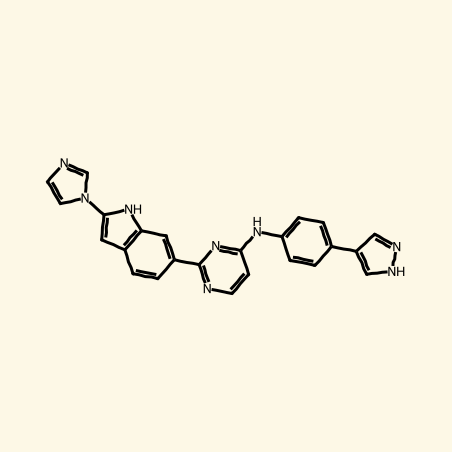 c1cn(-c2cc3ccc(-c4nccc(Nc5ccc(-c6cn[nH]c6)cc5)n4)cc3[nH]2)cn1